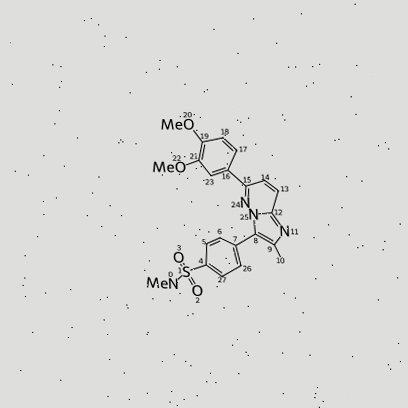 CNS(=O)(=O)c1ccc(-c2c(C)nc3ccc(-c4ccc(OC)c(OC)c4)nn23)cc1